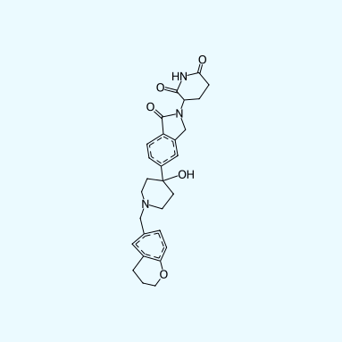 O=C1CCC(N2Cc3cc(C4(O)CCN(Cc5ccc6c(c5)CCCO6)CC4)ccc3C2=O)C(=O)N1